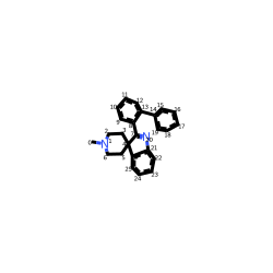 CN1CCC2(CC1)C(c1ccccc1-c1ccccc1)=Nc1ccccc12